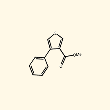 COC(=O)c1cscc1-c1ccccc1